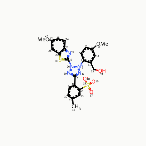 COc1ccc(-[n+]2nc(-c3ccc(C)cc3S(=O)(=O)[O-])nn2-c2nc3ccc(OC)cc3s2)c(CO)c1